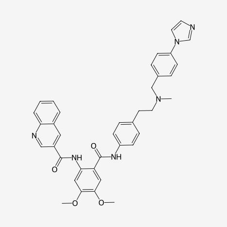 COc1cc(NC(=O)c2cnc3ccccc3c2)c(C(=O)Nc2ccc(CCN(C)Cc3ccc(-n4ccnc4)cc3)cc2)cc1OC